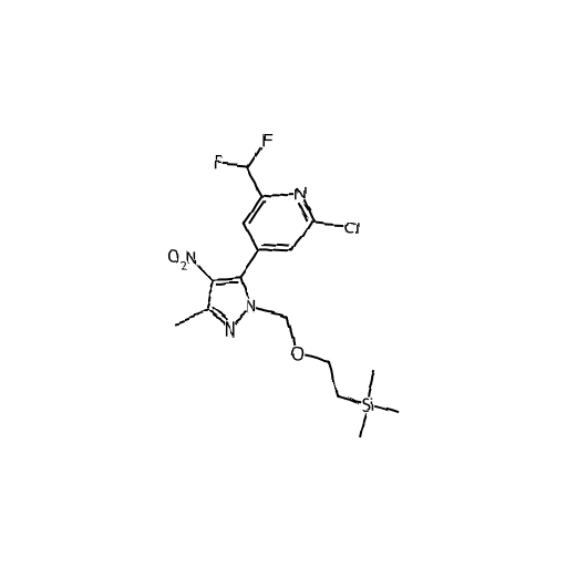 Cc1nn(COCC[Si](C)(C)C)c(-c2cc(Cl)nc(C(F)F)c2)c1[N+](=O)[O-]